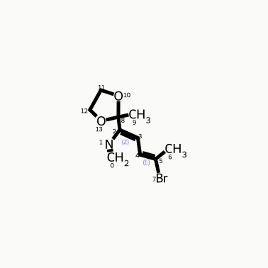 C=N/C(=C\C=C(/C)Br)C1(C)OCCO1